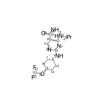 CC(C)Nc1nc(N[C@H]2CC[C@H](OC(F)F)CC2)ncc1C(N)=O